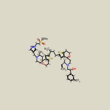 C=C[C@H]1C[C@@]2(CCN1CC(O)c1cccc(C(F)(F)F)c1)OCCc1sc(CCC(C)c3cc4c(s3)CCO[C@@]43CCN(Cc4cnn(CCS(=O)(=O)NC)c4)[C@@H](C)C3)cc12